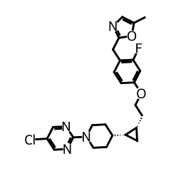 Cc1cnc(Cc2ccc(OCC[C@@H]3C[C@@H]3C3CCN(c4ncc(Cl)cn4)CC3)cc2F)o1